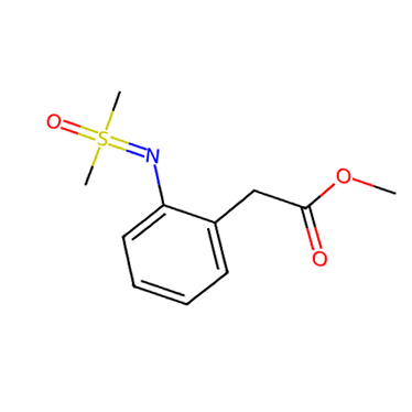 COC(=O)Cc1ccccc1N=S(C)(C)=O